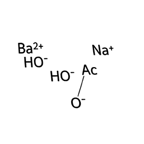 CC(=O)[O-].[Ba+2].[Na+].[OH-].[OH-]